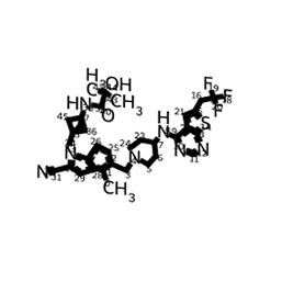 Cc1c(CN2CCC(Nc3ncnc4sc(CC(F)(F)F)cc34)CC2)ccc2c1cc(C#N)n2CC12CC(NC(=O)C(C)(C)O)(C1)C2